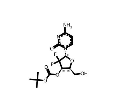 CC(C)(C)OC(=O)O[C@@H]1[C@H](CO)O[C@@H](n2ccc(N)nc2=O)C1(F)F